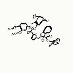 CCC(NCc1ccc(C(=O)O[C@@H](Cc2c(Cl)c[n+]([O-])cc2Cl)c2ccc(OC)c(OC)c2)s1)(C(=O)O[C@H]1CN2CCC1CC2)c1ccccc1